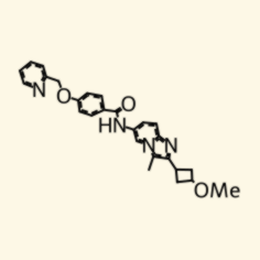 COC1CC(c2nc3ccc(NC(=O)c4ccc(OCc5ccccn5)cc4)cn3c2C)C1